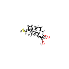 COC1=C[C@H]2C(=CC[C@@H]3[C@@H]2CC[C@]2(C)[C@@H](CSC)CC[C@@H]32)C=C1O